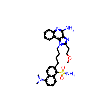 COCCc1nc2c(N)nc3ccccc3c2n1CCCCc1ccc2c(N(C)C)cccc2c1S(N)(=O)=O